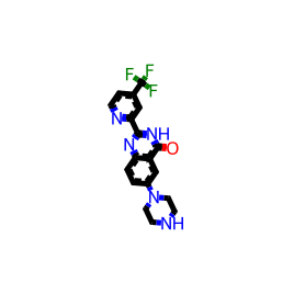 O=c1[nH]c(-c2cc(C(F)(F)F)ccn2)nc2ccc(N3CCNCC3)cc12